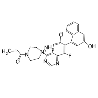 C=CC(=O)N1CC[N+](N)(c2ncnc3c(F)c(-c4cc(O)cc5ccccc45)c(Cl)cc23)CC1